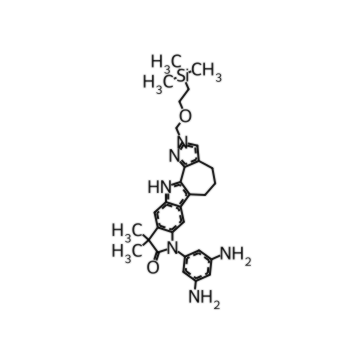 CC1(C)C(=O)N(c2cc(N)cc(N)c2)c2cc3c4c([nH]c3cc21)-c1nn(COCC[Si](C)(C)C)cc1CCC4